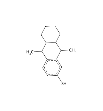 CC1c2ccc(S)cc2C(C)C2CCCCC12